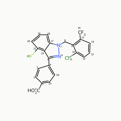 O=C(O)c1ccc(-c2nn(Cc3c(Cl)cccc3C(F)(F)F)c3cccc(F)c23)cc1